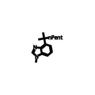 CCCCCC(C)(C)c1cccc2c1ncn2C